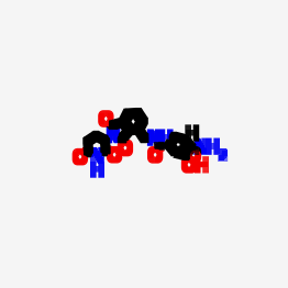 N[C@@H]1[C@@H]2C[C@H](C(=O)NCc3cccc4c3C(=O)N(C3CCC(=O)NC3=O)C4=O)C(C2=O)[C@@H]1O